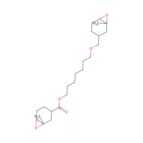 CC12CC(COCCCCCCCOC(=O)C3CCC4OC4(C)C3)CCC1O2